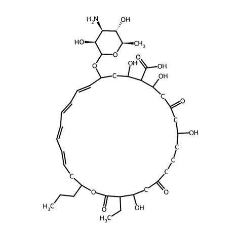 CCCC1C/C=C/C=C/C=C/C=C/C(OC2O[C@H](C)[C@@H](O)[C@H](N)[C@@H]2O)CC(O)C(C(=O)O)C(O)CC(=O)CC(O)CCCC(=O)CC(O)C(CC)C(=O)O1